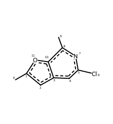 Cc1cc2cc(Cl)nc(C)c2o1